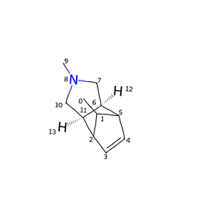 CC1C2C=CC1[C@@H]1CN(C)C[C@H]21